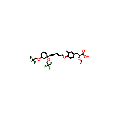 CCO[C@@H](Cc1ccc(OCC=CC#CC2(OCC(F)(F)F)C=CC=C(OCC(F)(F)F)C2)c(I)c1)C(=O)O